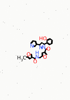 Cc1cc(C(=O)NCc2cc(C(=O)N3N=C(c4cccnc4)CC3c3ccccc3O)co2)co1